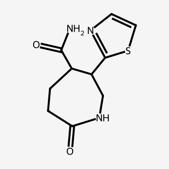 NC(=O)C1CCC(=O)NCC1c1nccs1